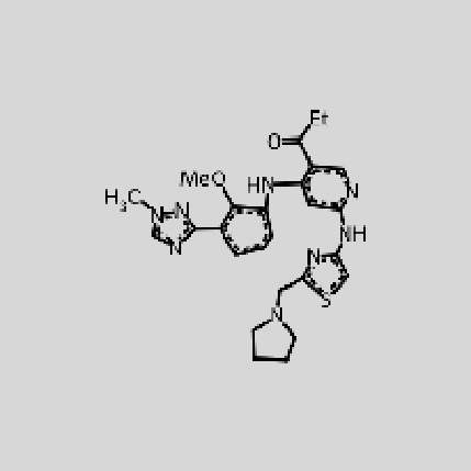 CCC(=O)c1cnc(Nc2csc(CN3CCCC3)n2)cc1Nc1cccc(-c2ncn(C)n2)c1OC